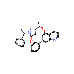 C[C@H](c1ccccc1)N1C[C@H]([C@@H](C)Oc2cc(-c3ccccc3)cc3ncccc23)CC1=O